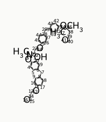 CN(Oc1ccc(Cc2ccc(OCC3CO3)cc2)cc1)C(O)COc1ccc(Cc2ccc(OC(C)(C)CC3CO3)cc2)cc1